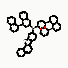 c1ccc(-c2cccc3cccc(-c4ccc(N(c5cc(-c6cccc7ccccc67)c6ccccc6c5)c5ccc6c(c5)sc5c7ccccc7ccc65)cc4)c23)cc1